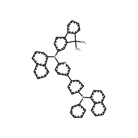 CC1(C)c2ccccc2-c2ccc(N(c3ccc(-c4ccc(N(c5ccccc5)c5cccc6ccccc56)cc4)cn3)c3cccc4ccccc34)cc21